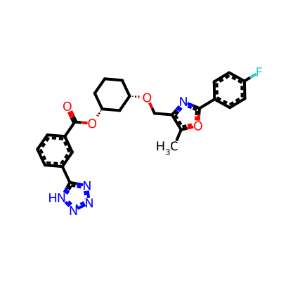 Cc1oc(-c2ccc(F)cc2)nc1CO[C@H]1CCC[C@@H](OC(=O)c2cccc(-c3nnn[nH]3)c2)C1